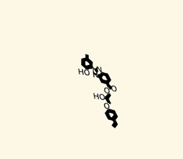 C=Cc1ccc(OCC(O)COC(=O)c2ccc3nn(-c4cc(C)ccc4O)nc3c2)cc1